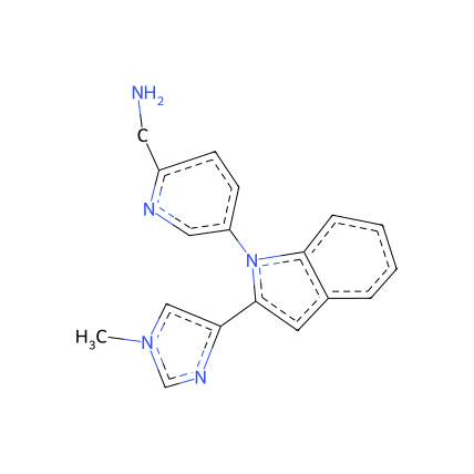 Cn1cnc(-c2cc3ccccc3n2-c2ccc(CN)nc2)c1